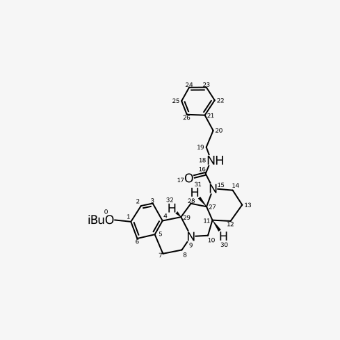 CC(C)COc1ccc2c(c1)CCN1C[C@H]3CCCN(C(=O)NCCc4ccccc4)[C@H]3C[C@@H]21